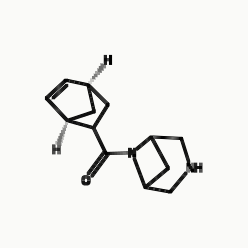 O=C(C1C[C@@H]2C=C[C@H]1C2)N1C2CNCC1C2